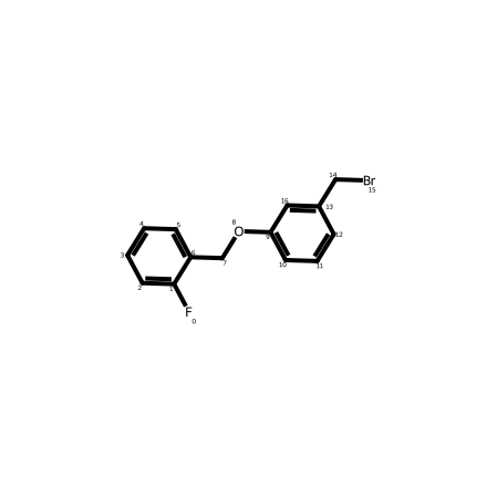 Fc1ccccc1COc1cccc(CBr)c1